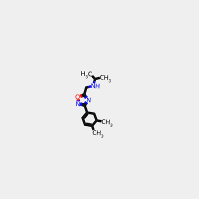 CC1=CC=C(c2noc(CNC(C)C)n2)CC1C